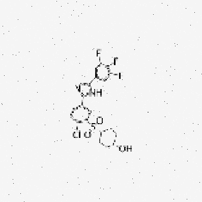 O=S(=O)(c1cc(-c2ncc(-c3cc(F)c(F)c(F)c3)[nH]2)ccc1Cl)[C@H]1CC[C@@H](O)CC1